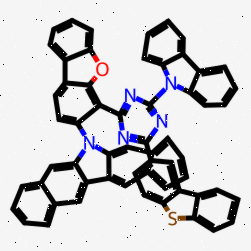 c1ccc2cc3c(cc2c1)c1cc2ccccc2cc1n3-c1ccc2c(oc3ccccc32)c1-c1nc(-c2ccc3sc4ccccc4c3c2)nc(-n2c3ccccc3c3ccccc32)n1